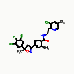 CC1C=C(C2=NOC(c3cc(Cl)c(F)c(Cl)c3)(C(F)(F)F)C2)C=CC1C(=O)NCCc1ncc(C(F)(F)F)cc1Cl